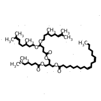 CCCCC/C=C\C/C=C\CCCCCCCC(=O)OCC(COC(=O)CCCCN(C)C)COC(=O)CCC(OCCC(C)CCC=C(C)C)OCCC(C)CCC=C(C)C